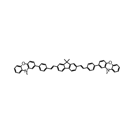 CN1c2ccccc2Oc2ccc(-c3ccc(/C=C/c4ccc5c(c4)C(C)(C)c4cc(/C=C/c6ccc(-c7ccc8c(c7)N(C)c7ccccc7O8)cc6)ccc4-5)cc3)cc21